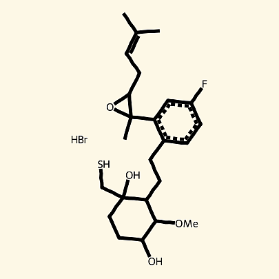 Br.COC1C(O)CCC(O)(CS)C1CCc1ccc(F)cc1C1(C)OC1CC=C(C)C